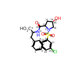 O=C(O)C(Cc1ccccc1)NC(=O)C1C[C@@H](O)CN1S(=O)(=O)c1cccc(Cl)c1